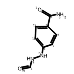 NC(=O)c1ccc(NNC=O)cc1